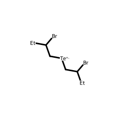 CCC(Br)C[Te+]CC(Br)CC